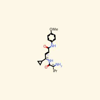 COc1ccc(NC(=O)/C=C/[C@@H](NC(=O)[C@@H](N)C(C)C)C2CC2)cc1